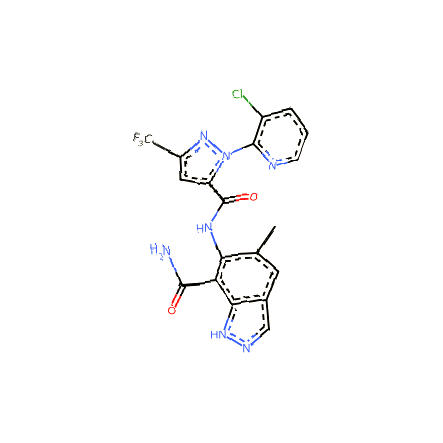 Cc1cc2cn[nH]c2c(C(N)=O)c1NC(=O)c1cc(C(F)(F)F)nn1-c1ncccc1Cl